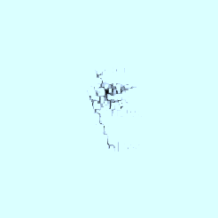 CCCCCCCCCCCC(=O)[O-].CCCCCCCCCCCC(=O)[O-].CCCCCCCCCCCCCCCCCC(=O)[O-].CCCCCCCCCCCCCCCCCC(=O)[O-].[Ca+2].[Zn+2]